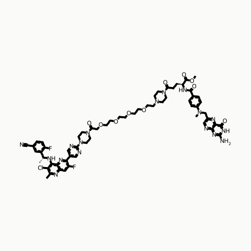 COC(=O)[C@H](CCC(=O)N1CCN(CCOCCOCCOCCOCC(=O)N2CCN(c3ncc(-c4nc5c(N[C@H](C)c6cc(C#N)ccc6F)c(Cl)c(C)nc5cc4F)cn3)CC2)CC1)NC(=O)c1ccc(N(C)Cc2cnc3nc(N)[nH]c(=O)c3n2)cc1